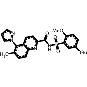 COc1ccc(C(C)(C)C)cc1S(=O)(=O)NC(=O)c1ccc2c(-n3cccn3)c(C)ccc2n1